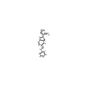 N/C(=N\O)c1cc2ccc(OCc3ccccc3)cc2s1